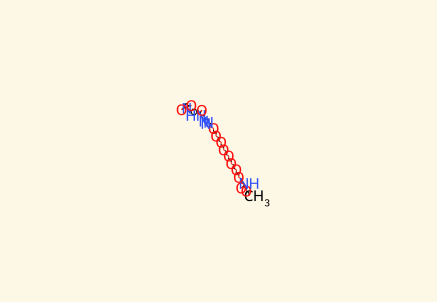 CCOCC(=O)NCCOCCOCCOCCOCCOCCOCCOCCOCCn1cc(CNC(=O)[C@H]2CC[C@H](CN3C(=O)C=CC3=O)CC2)nn1